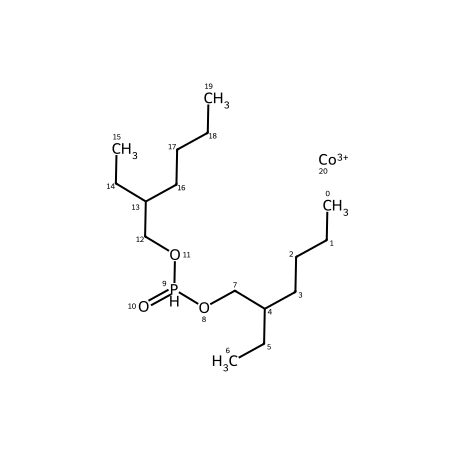 CCCCC(CC)CO[PH](=O)OCC(CC)CCCC.[Co+3]